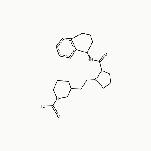 O=C(N[C@@H]1CCCc2ccccc21)C1CCCN1CCC1CCCN(C(=O)O)C1